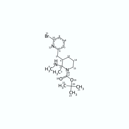 CNC1(C)C(Cc2cccc(Br)n2)CCCN1C(=O)OC(C)(C)C